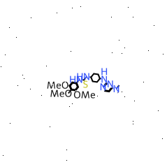 COc1cc(NC(=S)NC2CCC(Nc3nccc(N(C)C)n3)CC2)cc(OC)c1OC